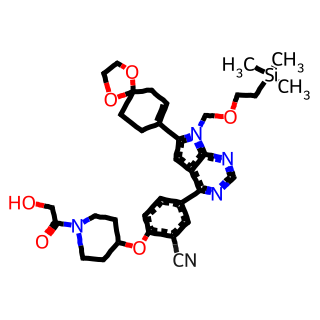 C[Si](C)(C)CCOCn1c(C2=CCC3(CC2)OCCO3)cc2c(-c3ccc(OC4CCN(C(=O)CO)CC4)c(C#N)c3)ncnc21